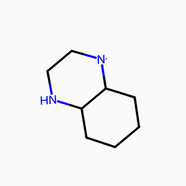 C1CCC2NCC[N]C2C1